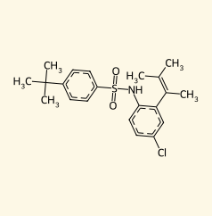 CC(C)=C(C)c1cc(Cl)ccc1NS(=O)(=O)c1ccc(C(C)(C)C)cc1